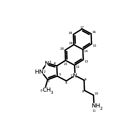 Cc1[nH]nc2c1CN(CCCN)c1cc3ccccc3cc1-2